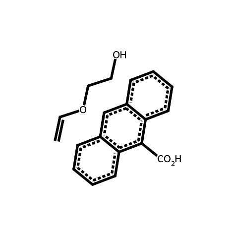 C=COCCO.O=C(O)c1c2ccccc2cc2ccccc12